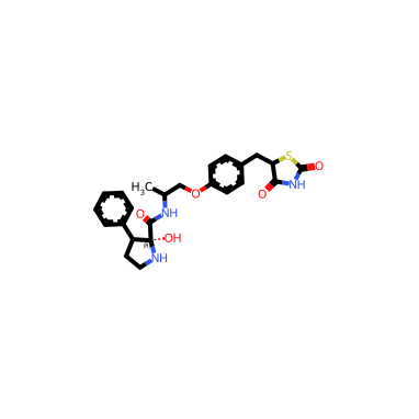 CC(COc1ccc(CC2SC(=O)NC2=O)cc1)NC(=O)[C@@]1(O)NCCC1c1ccccc1